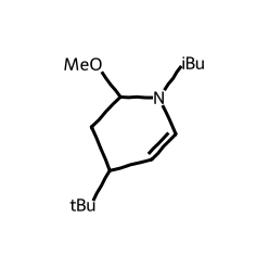 CCC(C)N1C=CC(C(C)(C)C)CC1OC